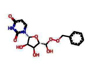 O=c1ccn([C@@H]2O[C@H](C(O)OOCc3ccccc3)[C@@H](O)[C@H]2O)c(=O)[nH]1